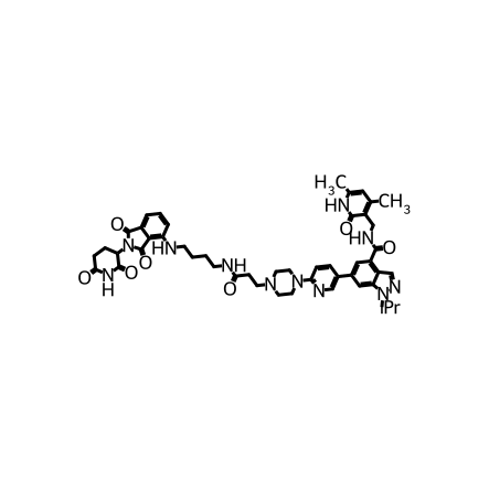 Cc1cc(C)c(CNC(=O)c2cc(-c3ccc(N4CCN(CCC(=O)NCCCCNc5cccc6c5C(=O)N(C5CCC(=O)NC5=O)C6=O)CC4)nc3)cc3c2cnn3C(C)C)c(=O)[nH]1